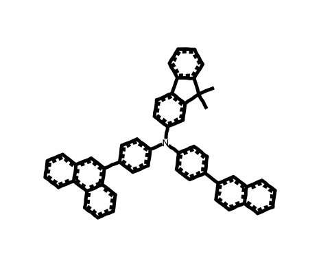 CC1(C)c2ccccc2-c2ccc(N(c3ccc(-c4ccc5ccccc5c4)cc3)c3ccc(-c4cc5ccccc5c5ccccc45)cc3)cc21